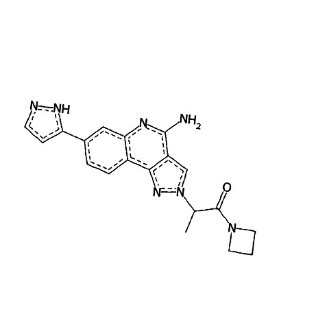 CC(C(=O)N1CCC1)n1cc2c(N)nc3cc(-c4ccn[nH]4)ccc3c2n1